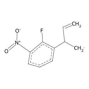 [CH2]C(C=C)c1cccc([N+](=O)[O-])c1F